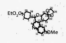 CCOC(=O)N1CCN(C(=O)c2cnc3ccc(OC)cc3c2N2CCC3(CC2)OCCO3)CC1